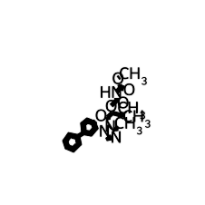 COC(=O)NC(=O)OC(C(Oc1ccc(-c2ccccc2)cc1)n1cncn1)C(C)(C)C